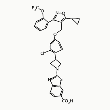 O=C(O)c1ccc2nc(N3CC(c4ccc(OCc5c(-c6ccccc6OC(F)(F)F)noc5C5CC5)cc4Cl)C3)sc2c1